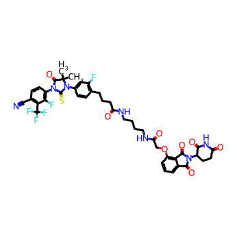 CC1(C)C(=O)N(c2ccc(C#N)c(C(F)(F)F)c2F)C(=S)N1c1ccc(CCCC(=O)NCCCCNC(=O)COc2cccc3c2C(=O)N(C2CCC(=O)NC2=O)C3=O)c(F)c1